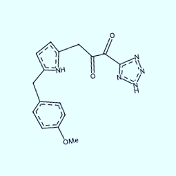 COc1ccc(Cc2ccc(CC(=O)C(=O)c3nn[nH]n3)[nH]2)cc1